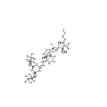 CCCCC(=O)C1([C@@H](O)/C=C/[C@@H](C)[C@H]2CC[C@H]3/C(=C/C=C4C[C@@H](O[Si](C)(C)C(C)(C)C)C[C@H](O[Si](C)(C)C(C)(C)C)C4)CCC[C@]23C)CC1